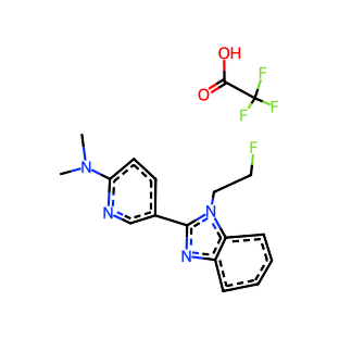 CN(C)c1ccc(-c2nc3ccccc3n2CCF)cn1.O=C(O)C(F)(F)F